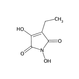 CCC1=C(O)C(=O)N(O)C1=O